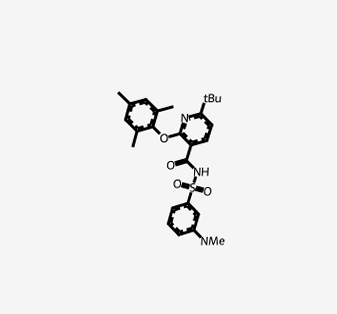 CNc1cccc(S(=O)(=O)NC(=O)c2ccc(C(C)(C)C)nc2Oc2c(C)cc(C)cc2C)c1